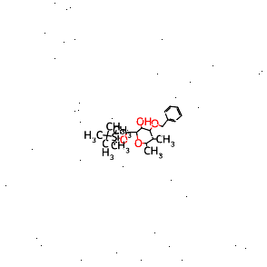 CC1OC(CO[Si](C)(C)C(C)(C)C)C(O)C(OCc2ccccc2)C1C